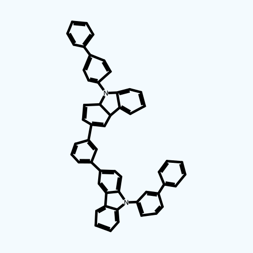 C1=CC2C(C=C1c1cccc(-c3ccc4c(c3)c3ccccc3n4-c3cccc(-c4ccccc4)c3)c1)c1ccccc1N2c1ccc(-c2ccccc2)cc1